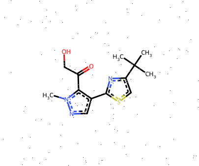 Cn1ncc(-c2nc(C(C)(C)C)cs2)c1C(=O)CO